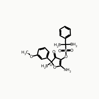 BC(B)(c1ccccc1)S(=O)(=O)OC1=C(N)O[C@](B)(c2cccc(OC)c2)C1=O